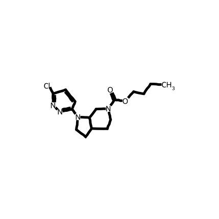 CCCCOC(=O)N1CCC2CCN(c3ccc(Cl)nn3)C2C1